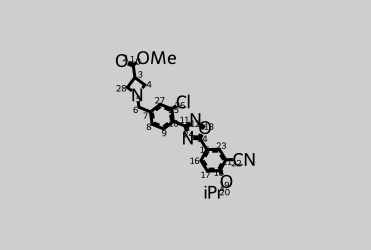 COC(=O)C1CN(Cc2ccc(-c3noc(-c4ccc(OC(C)C)c(C#N)c4)n3)c(Cl)c2)C1